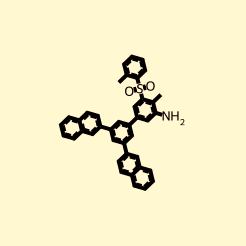 Cc1ccccc1S(=O)(=O)c1cc(-c2cc(-c3ccc4ccccc4c3)cc(-c3ccc4ccccc4c3)c2)cc(N)c1C